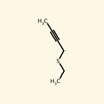 CC#C[CH]SCC